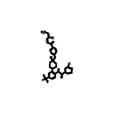 C=C(/N=C\C(Cl)=C/N)c1ccc(C[N+]2([O-])CCC(c3cc(C(F)(F)F)ccc3NC(=O)c3ccnc(Cl)c3)CC2)cc1